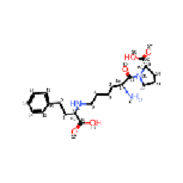 N[C@@H](CCCCN[C@H](CCc1ccccc1)C(=O)O)C(=O)N1CCC[C@H]1C(=O)O